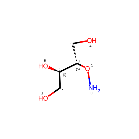 NO[C@@H](CO)[C@H](O)CO